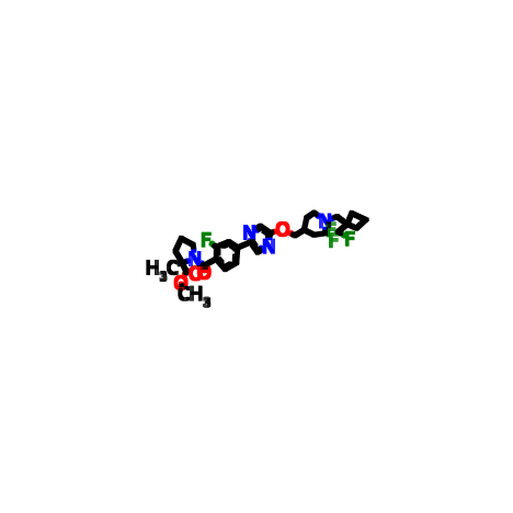 COC(=O)[C@]1(C)CCCN1C(=O)c1ccc(-c2cnc(OCC3CCN(CC4(C(F)(F)F)CCC4)CC3)cn2)cc1F